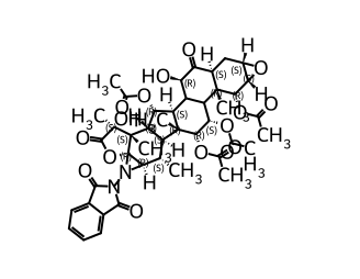 CC(=O)O[C@H]1[C@@H]2[C@H]([C@H](C)[C@H]3N(N4C(=O)c5ccccc5C4=O)[C@]34OC(=O)[C@@](C)(O)[C@]24C)[C@]2(C)[C@@H]1C1C([C@H](OC(C)=O)[C@@H]2OC(C)=O)[C@]2(C)[C@H](C[C@@H]3O[C@@H]3[C@@H]2OC(C)=O)C(=O)[C@@H]1O